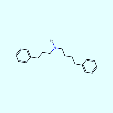 CCN(CCCCc1ccccc1)CCCc1ccccc1